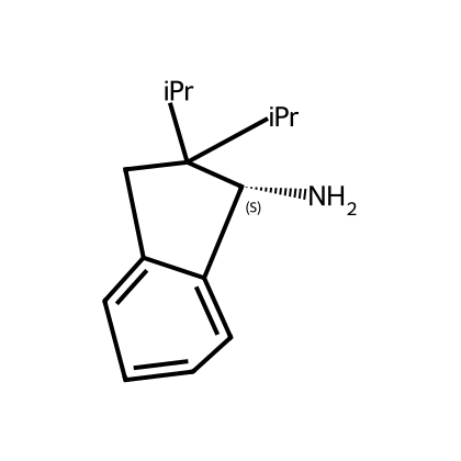 CC(C)C1(C(C)C)Cc2ccccc2[C@H]1N